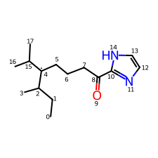 CCC(C)[C](CCCC(=O)c1ncc[nH]1)C(C)C